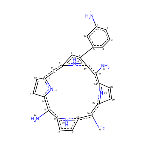 Nc1cccc(-c2cc3cc4nc(c(N)c5ccc([nH]5)c(N)c5nc(c(N)c2[nH]3)C=C5)C=C4)c1